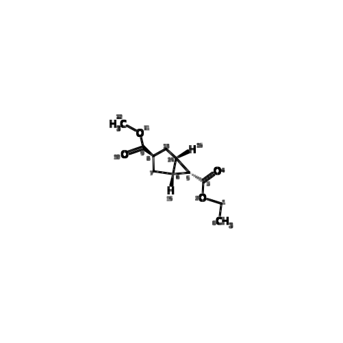 CCOC(=O)[C@@H]1[C@@H]2C[C@@H](C(=O)OC)C[C@@H]21